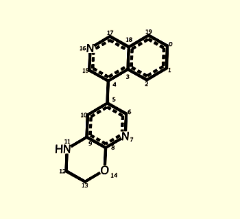 c1ccc2c(-c3cnc4c(c3)NCCO4)cncc2c1